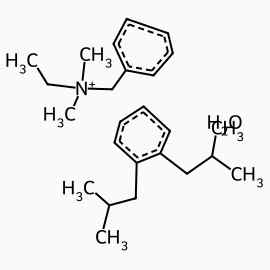 CC(C)Cc1ccccc1CC(C)C.CC[N+](C)(C)Cc1ccccc1.O